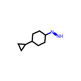 N=NC1CCC(C2CC2)CC1